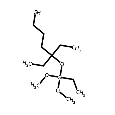 CCC(CC)(CCCS)O[Si](CC)(OC)OC